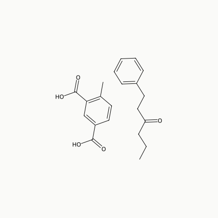 CCCC(=O)CCc1ccccc1.Cc1ccc(C(=O)O)cc1C(=O)O